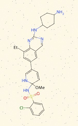 CCc1cc(C2=CNC(NS(=O)(=O)c3ccccc3Cl)(OC)C=C2)cc2cnc(NC3CCC(N)CC3)nc12